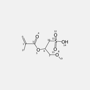 C=C(C)C(=O)OC(COC)CS(=O)(=O)O